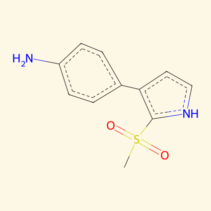 CS(=O)(=O)c1[nH]ccc1-c1ccc(N)cc1